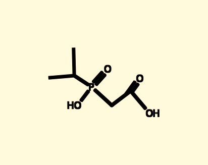 CC(C)P(=O)(O)CC(=O)O